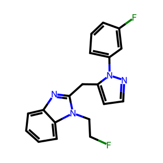 FCCn1c(Cc2ccnn2-c2cccc(F)c2)nc2ccccc21